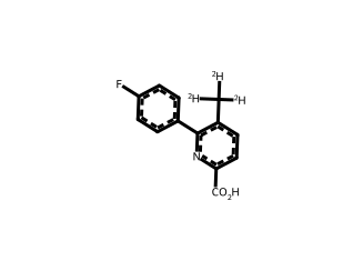 [2H]C([2H])([2H])c1ccc(C(=O)O)nc1-c1ccc(F)cc1